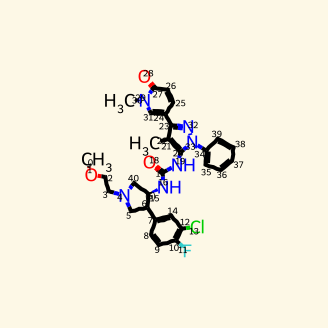 COCCN1CC(c2ccc(F)c(Cl)c2)[C@H](NC(=O)Nc2c(C)c(-c3ccc(=O)n(C)c3)nn2-c2ccccc2)C1